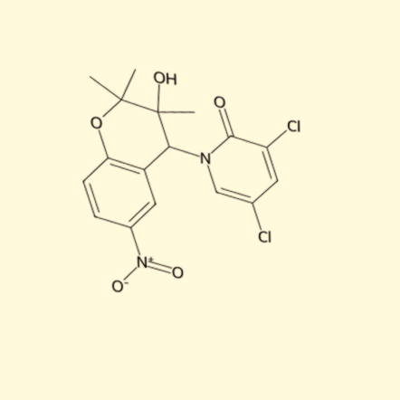 CC1(C)Oc2ccc([N+](=O)[O-])cc2C(n2cc(Cl)cc(Cl)c2=O)C1(C)O